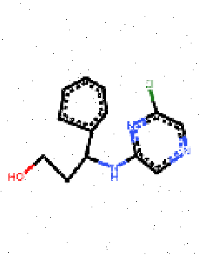 OCCC(Nc1cncc(Cl)n1)c1ccccc1